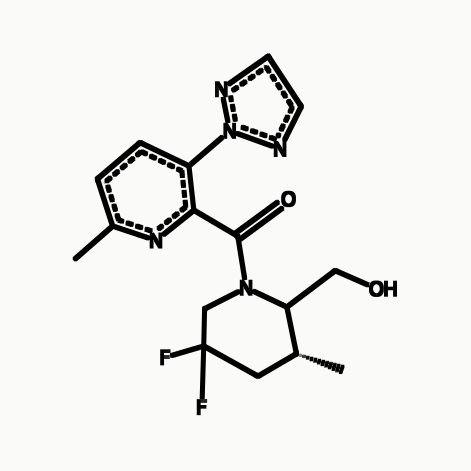 Cc1ccc(-n2nccn2)c(C(=O)N2CC(F)(F)C[C@@H](C)C2CO)n1